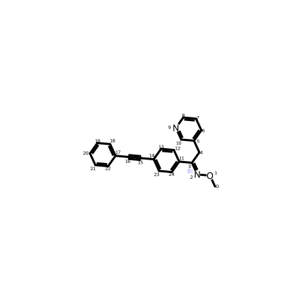 CO/N=C(\Cc1cccnc1)c1ccc(C#Cc2ccccc2)cc1